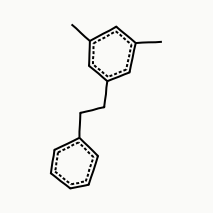 Cc1cc(C)cc(CCc2ccccc2)c1